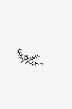 COc1ccc(COC(=O)C2=C([SH]3C=CC(c4cccs4)=C3)CSC3C(NC(=O)Cc4ccccc4)C(=O)N23)cc1